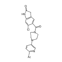 CC(=O)c1ccc(N2CCN(C(=O)c3cc4c(cc3Cl)NC(=O)C4)CC2)cn1